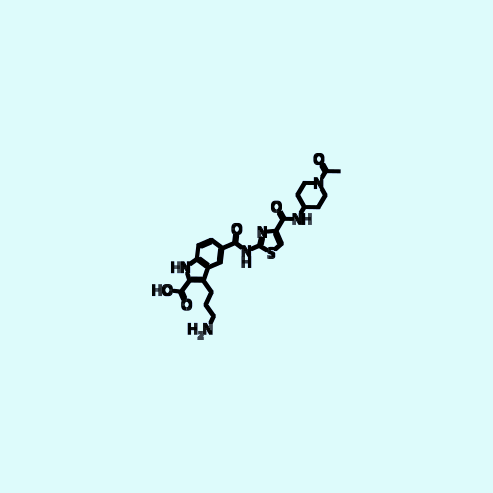 CC(=O)N1CCC(NC(=O)c2csc(NC(=O)c3ccc4[nH]c(C(=O)O)c(CCCN)c4c3)n2)CC1